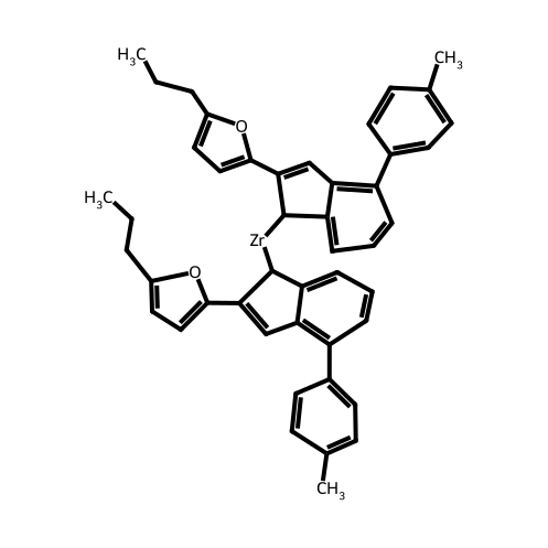 CCCc1ccc(C2=Cc3c(-c4ccc(C)cc4)cccc3[CH]2[Zr][CH]2C(c3ccc(CCC)o3)=Cc3c(-c4ccc(C)cc4)cccc32)o1